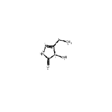 CCc1n[nH]c(=O)n1O